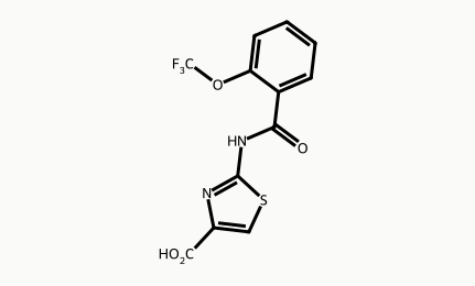 O=C(O)c1csc(NC(=O)c2ccccc2OC(F)(F)F)n1